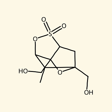 CC1C2OS(=O)(=O)C3CC1(CO)OC23CO